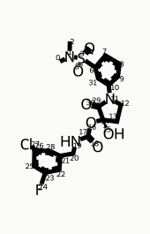 CN(C)S(=O)(=O)c1cccc(N2CC[C@](O)(OC(=O)NCc3cc(F)cc(Cl)c3)C2=O)c1